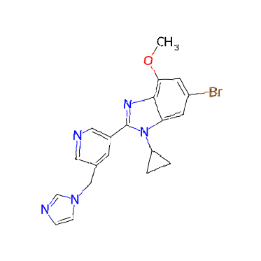 COc1cc(Br)cc2c1nc(-c1cncc(Cn3ccnc3)c1)n2C1CC1